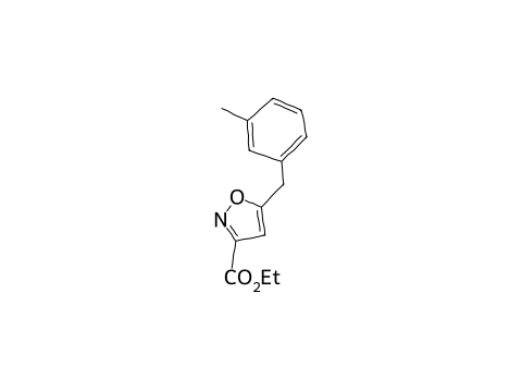 CCOC(=O)c1cc(Cc2cccc(C)c2)on1